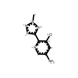 Cn1nnc(-c2ncc(N)cc2Cl)n1